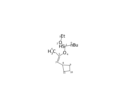 CCCC[SiH](OCC)OC(C)=CC1CCC1